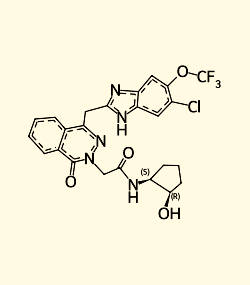 O=C(Cn1nc(Cc2nc3cc(OC(F)(F)F)c(Cl)cc3[nH]2)c2ccccc2c1=O)N[C@H]1CCC[C@H]1O